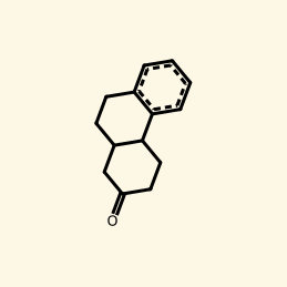 O=C1CCC2c3ccccc3CCC2C1